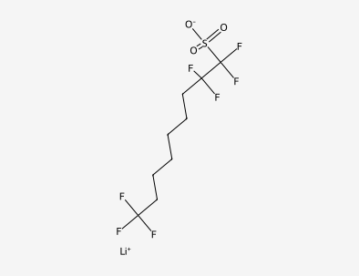 O=S(=O)([O-])C(F)(F)C(F)(F)CCCCCCC(F)(F)F.[Li+]